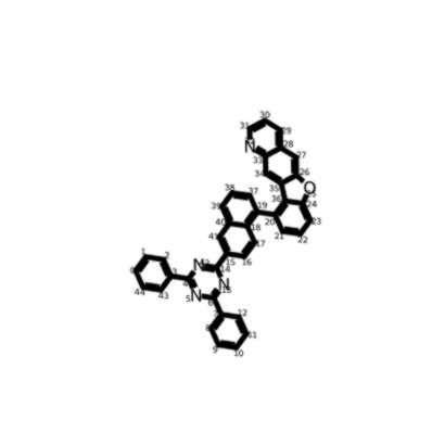 c1ccc(-c2nc(-c3ccccc3)nc(-c3ccc4c(-c5cccc6oc7cc8cccnc8cc7c56)cccc4c3)n2)cc1